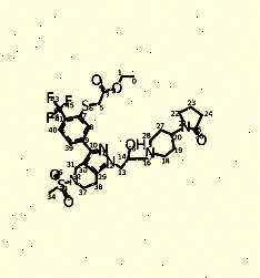 CCOC(=O)CSc1cc(-c2nn(CC(O)CN3CCC(N4CCCC4=O)CC3)c3c2CN(S(C)(=O)=O)CC3)ccc1C(F)(F)F